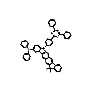 CC1(C)c2ccccc2-c2cc3cc4c(cc3cc21)c1cc(N(c2ccccc2)c2ccccc2)ccc1n4-c1ccc(-c2nc(-c3ccccc3)nc(-c3ccccc3)n2)cc1